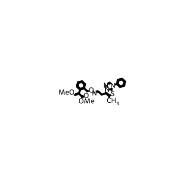 CO/C=C(/C(=O)OC)c1ccccc1CON=CCC1=C(C)SC2N1N=CN2c1ccccc1